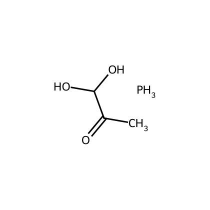 CC(=O)C(O)O.P